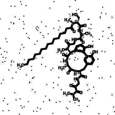 CCCCCCCCCCCCCCCC(=O)N(C)[C@H](CO)C(=O)N[C@H](C)C(=O)NCC(=O)N(C)[C@@H]1C(=O)N[C@@H](C)C(=O)N[C@H](C(=O)NCC(=O)C(=O)N(C)C)Cc2ccc(O)c(c2)-c2cc1ccc2O